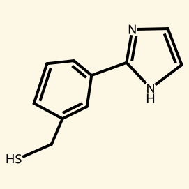 SCc1cccc(-c2ncc[nH]2)c1